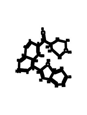 O=C(c1ccc2cncc(-c3cc4ccccc4o3)c2n1)N1CCOCC1